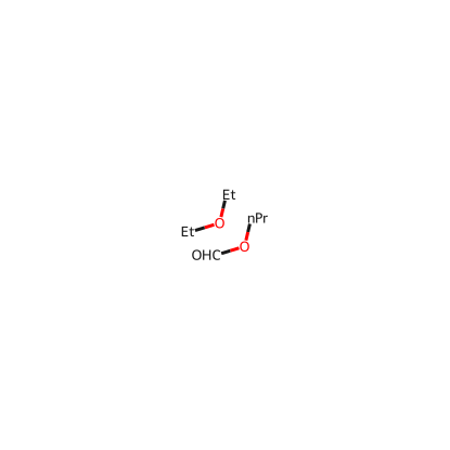 CCCOC=O.CCOCC